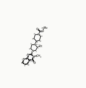 CC[C@H]1CN(c2nc3ncccc3c(=O)n2C)CCN1C1CCN(C(=O)OC(C)(C)C)CC1